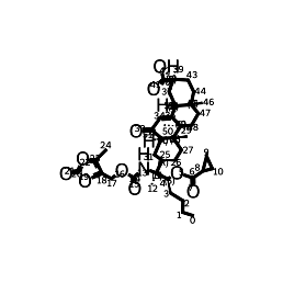 CCCC[C@H](OC(=O)C1CC1)[C@@](C)(NC(=O)OCc1oc(=O)oc1C)[C@@H]1CC[C@]2(C)[C@@H](C1)C(=O)C=C1[C@@H]3C[C@@](C)(C(=O)O)CC[C@]3(C)CC[C@]12C